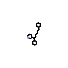 [CH](CCc1ccccc1)CCC(c1ccccc1)c1cccnc1